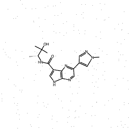 C[C@@H](NC(=O)c1c[nH]c2ncc(-c3cnn(C)c3)nc12)C(C)(C)O